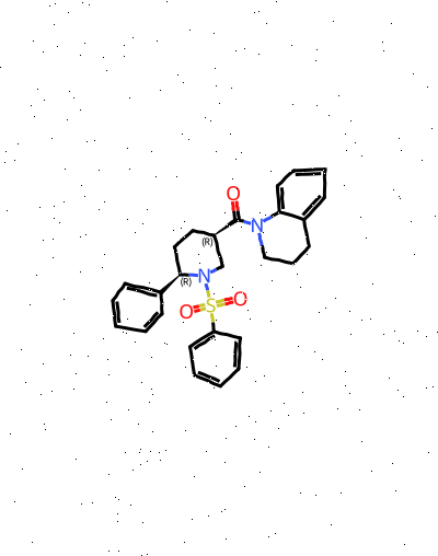 O=C([C@@H]1CC[C@H](c2ccccc2)N(S(=O)(=O)c2ccccc2)C1)N1CCCc2ccccc21